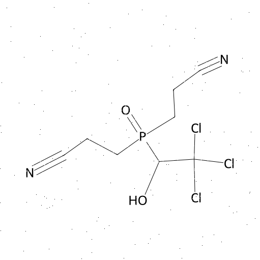 N#CCCP(=O)(CCC#N)C(O)C(Cl)(Cl)Cl